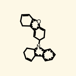 C1=Cc2oc3c(c2CC1)=CC(n1c2c(c4ccccc41)C=CCC2)CC=3